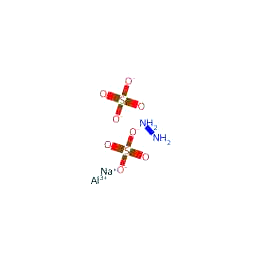 NN.O=S(=O)([O-])[O-].O=S(=O)([O-])[O-].[Al+3].[Na+]